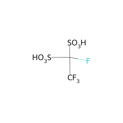 O=S(=O)(O)C(F)(C(F)(F)F)S(=O)(=O)O